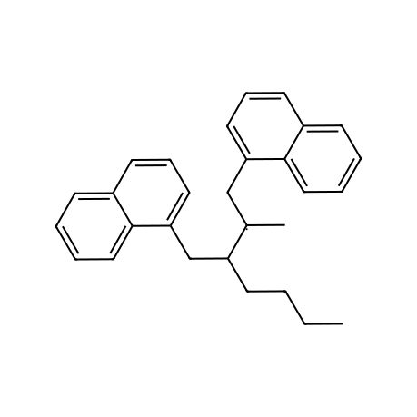 CCCCC(Cc1cccc2ccccc12)[C](C)Cc1cccc2ccccc12